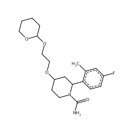 Cc1cc(F)ccc1C1CC(OCCOC2CCCCO2)CCN1C(N)=O